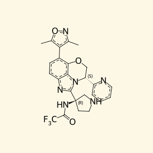 Cc1noc(C)c1-c1ccc2nc([C@@]3(NC(=O)C(F)(F)F)CCNC3)n3c2c1OC[C@@H]3c1ccccn1